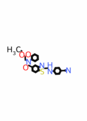 CCOC(=O)CN(C(=O)c1ccc2sc(CNc3ccc(C#N)cc3)nc2c1)c1ccccc1